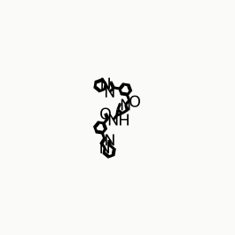 O=C(NC1C2CN(C(=O)c3cccc(-c4cn5ccccc5n4)c3)CC21)c1cccc(-c2cn3ccccc3n2)c1